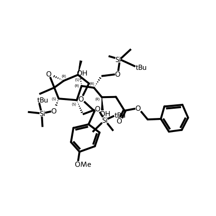 COc1ccc(COC[C@H](C)[C@H]2OC2(C)[C@@H](O[Si](C)(C)C(C)(C)C)[C@@H](CO[Si](C)(C)C(C)(C)C)[C@H](O)[C@H](CO[Si](C)(C)C(C)(C)C)[C@H](O)CC(=O)OCc2ccccc2)cc1